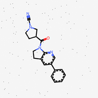 N#CN1CCC(C(=O)N2CCc3cc(-c4ccccc4)cnc32)C1